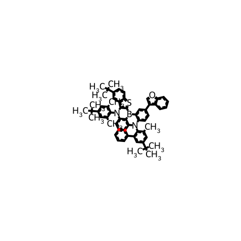 Cc1cc(C(C)(C)C)cc(C)c1N1c2cccc3c2B(c2cc(-c4coc5ccccc45)ccc2N3c2c(C)cc(C(C)(C)C)cc2-c2ccccc2)c2sc3ccc(C(C)(C)C)cc3c21